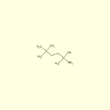 CC(N)(C#N)CCS(C)(C)C